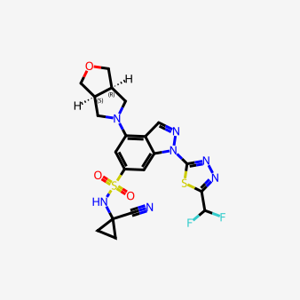 N#CC1(NS(=O)(=O)c2cc(N3C[C@H]4COC[C@H]4C3)c3cnn(-c4nnc(C(F)F)s4)c3c2)CC1